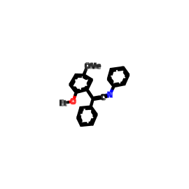 CCOc1ccc(OC)cc1C(=C=Nc1ccccc1)c1ccccc1